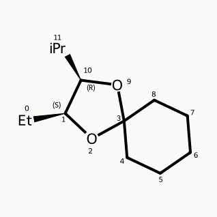 CC[C@@H]1OC2(CCCCC2)O[C@@H]1C(C)C